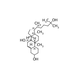 C[C@H](CCCC(C)(C)O)[C@H]1CC[C@H]2[C@@H]3[C@@H](O)C=C4CC(O)CC[C@]4(C)[C@H]3CC[C@]12C